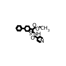 CCOC(=O)c1c(NC(=O)c2ccncc2)sc2c1CCC(c1ccccc1)C2